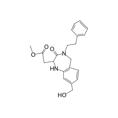 COC(=O)CC1Nc2cc(CO)ccc2CN(CCc2ccccc2)C1=O